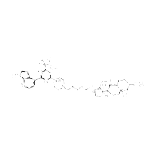 C[C@@H]1CN(CCCCCO[C@H]2CC[C@H]3[C@@H]4CC[C@H]5CC(O)CC[C@]5(C)[C@H]4CC[C@]23C)CCN1c1cc(C2(S(C)(=N)=O)CC2)nc(-c2ccnc3[nH]ccc23)n1